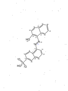 O=S(=O)(O)c1ccc2c(/N=N/c3c(O)ccc4ccccc34)cccc2c1